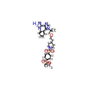 CCC(COCCC1CCN(S(=O)(=O)c2ccc(S(C)(=O)=O)cc2)CC1)n1cnc2c(N)nc3ccccc3c21